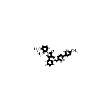 Cc1ccc(-c2ccc(Cn3nc4c(=O)n(-c5cccc(C)c5C)nc-4c4ccccc43)cn2)cn1